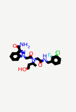 CC(CCO)N(CC(=O)NCc1cccc(Cl)c1F)C(=O)Cn1nc(C(N)=O)c2ccccc21